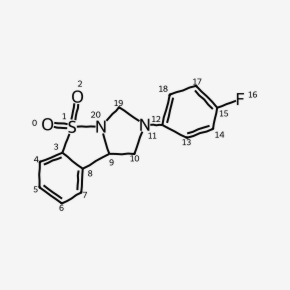 O=S1(=O)c2ccccc2C2CN(c3ccc(F)cc3)CN21